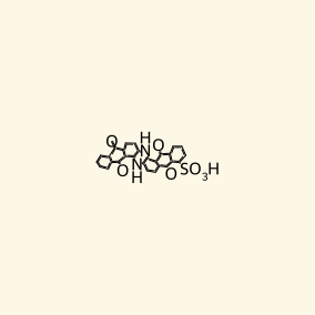 O=c1c2ccccc2c(=O)c2c1ccc1[nH]c3c(ccc4c(=O)c5c(S(=O)(=O)O)cccc5c(=O)c43)[nH]c12